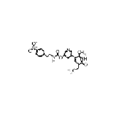 CCc1cc(-c2cncc(OC(=O)NCCc3ccc([N+](=O)[O-])cc3)c2)c(C)[nH]c1=O